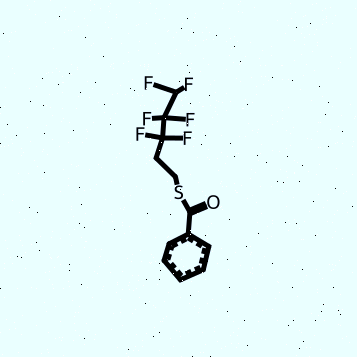 O=C(SCCC(F)(F)C(F)(F)C(F)F)c1ccccc1